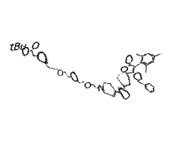 Cc1cc(C)c(C2=C(OCc3ccccc3)[C@]3(CC[C@H](OC4CCN(CCOCCOCCOCCOCC(=O)OC(C)(C)C)CC4)CC3)OC2=O)c(C)c1